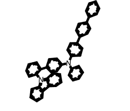 c1ccc(-c2ccc(-c3ccc(N(c4ccccc4)c4ccc(-c5ccccc5-n5c6ccccc6c6ccccc65)cc4)cc3)cc2)cc1